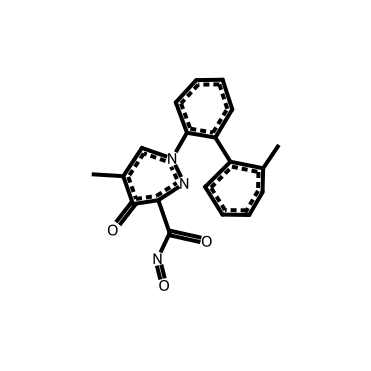 Cc1ccccc1-c1ccccc1-n1cc(C)c(=O)c(C(=O)N=O)n1